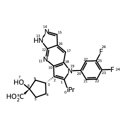 CC(C)c1c([C@@H]2CC[C@@](O)(C(=O)O)C2)c2nc3[nH]ncc3cc2n1-c1ccc(F)c(F)c1